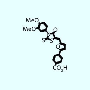 COc1ccc(N2C(=O)C(=Cc3ccc(-c4ccc(C(=O)O)cc4)o3)SC2=S)cc1OC